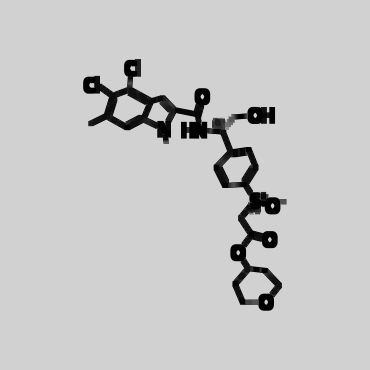 Cc1cc2c(cc(C(=O)N[C@H](CO)c3ccc([S@@+]([O-])CC(=O)OC4CCOCC4)cc3)n2C)c(Cl)c1Cl